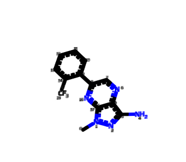 Cn1nc(N)c2ncc(-c3ccccc3C(F)(F)F)nc21